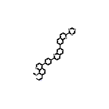 C=Nc1c(/C=C\C)ccc2c(-c3ccc(-c4ccc5ccc(-c6ccc7ccc(-c8ncncn8)nc7c6)cc5n4)cc3)ccnc12